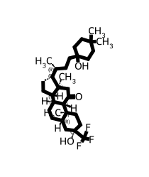 C[C@H](CCC1(O)CCC(C)(C)CC1)[C@H]1CC[C@H]2[C@@H]3CC[C@@H]4C[C@](O)(C(F)(F)F)CC[C@]4(C)[C@H]3C(=O)C[C@]12C